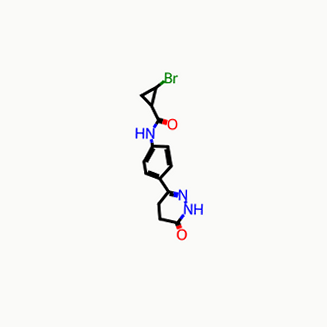 O=C1CCC(c2ccc(NC(=O)C3CC3Br)cc2)=NN1